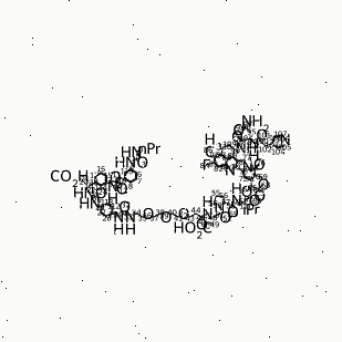 CCCNC(=O)Nc1cccc(S(=O)(=O)Nc2cccc([C@@H](CC(=O)O)NC(=O)Nc3ccc(NC(=O)NCCOCCOCCOCCC(=O)N[C@@H](CC(=O)O)C(=O)N4CCC[C@H]4C(=O)N[C@H](C(=O)O[C@@H]4C(=O)OCc5c4cc4n(c5=O)Cc5c-4nc4cc(F)c(C)c6c4c5[C@@H](NC(=O)[C@H](CC(N)=O)NC(=O)Cc4ccncc4)CC6)C(C)C)cc3)c2)c1